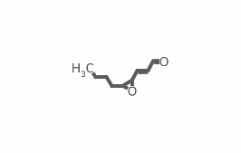 CCCCC1OC1C=CC=O